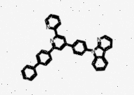 c1ccc(-c2ccc(-c3cc(-c4ccc(-n5c6ccccc6c6cccnc65)cc4)cc(-c4ccccn4)n3)cc2)cc1